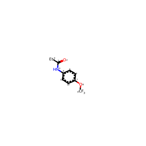 CCC(=O)Nc1ccc(OC(F)(F)F)cc1